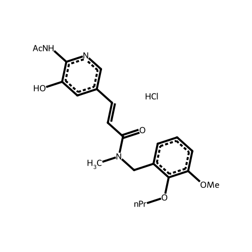 CCCOc1c(CN(C)C(=O)C=Cc2cnc(NC(C)=O)c(O)c2)cccc1OC.Cl